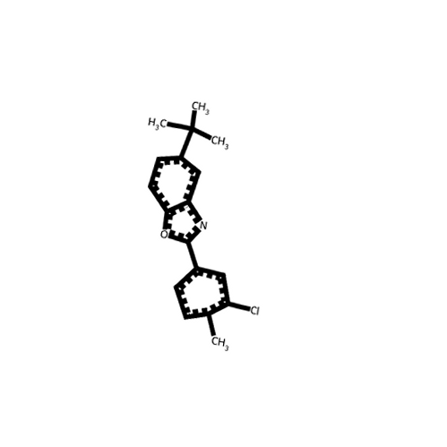 Cc1ccc(-c2nc3cc(C(C)(C)C)ccc3o2)cc1Cl